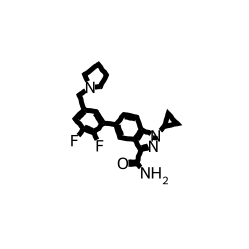 NC(=O)c1nn(C2CC2)c2ccc(-c3cc(CN4CCCC4)cc(F)c3F)cc12